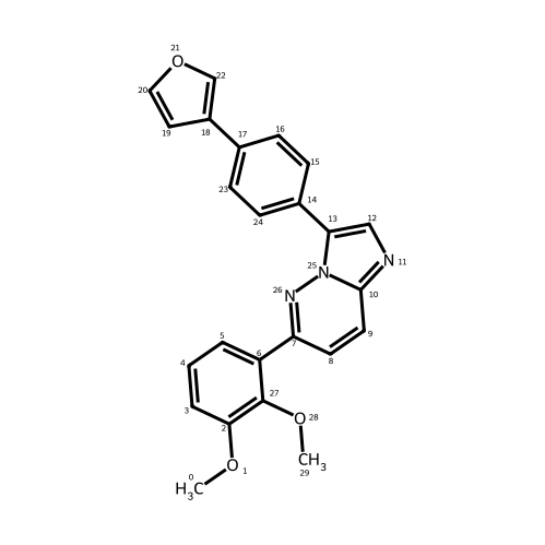 COc1cccc(-c2ccc3ncc(-c4ccc(-c5ccoc5)cc4)n3n2)c1OC